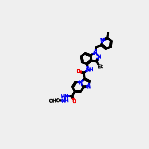 CCc1nn(Cc2cccc(C)n2)c2cccc(NC(=O)c3cnc4cc(C(=O)NNC=O)ccn34)c12